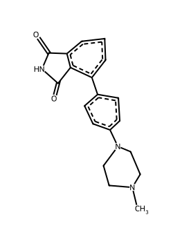 CN1CCN(c2ccc(-c3cccc4c3C(=O)NC4=O)cc2)CC1